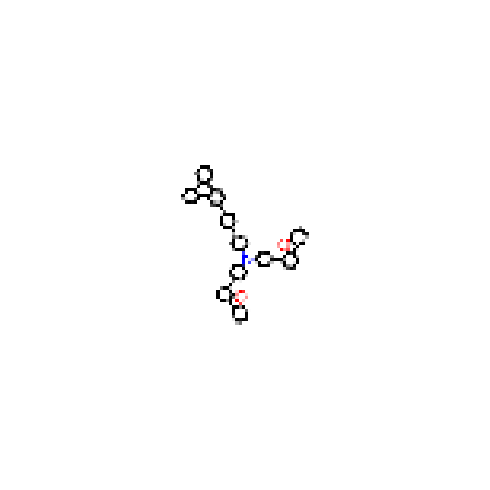 c1ccc2c(c1)oc1c(-c3ccc(N(c4ccc(-c5ccc(-c6ccc7c8ccccc8c8ccccc8c7c6)cc5)cc4)c4ccc(-c5cccc6c5oc5ccccc56)cc4)cc3)cccc12